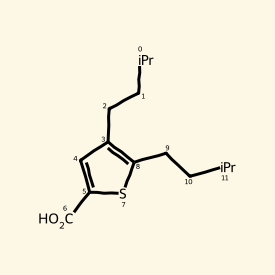 CC(C)CCc1cc(C(=O)O)sc1CCC(C)C